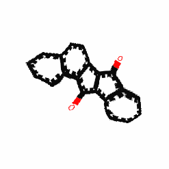 O=c1c2c3ccc4ccccc4c3c(=O)c=2c2ccccc12